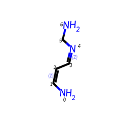 N/C=C\C=N/CN